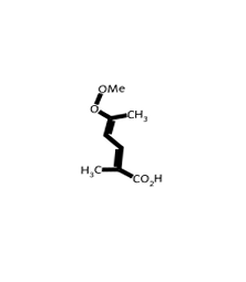 COO/C(C)=C/C=C(\C)C(=O)O